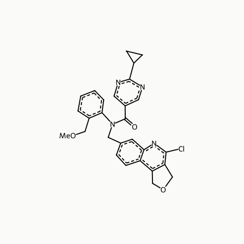 COCc1ccccc1N(Cc1ccc2c3c(c(Cl)nc2c1)COC3)C(=O)c1cnc(C2CC2)nc1